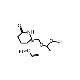 C=COCC.CCOC(C)OC[C@H]1CCCC(=O)N1